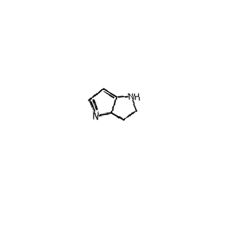 C1=NC2CCNC2=C1